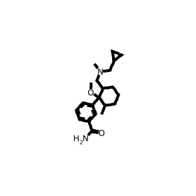 COC1(c2cccc(C(N)=O)c2)C(C)CCCC1CN(C)CC1CC1